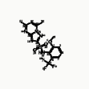 COc1cccc(C(F)(F)F)c1NS(=O)(=O)c1nc2nc(C)cc(C)n2n1